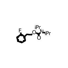 CC(C)N(C(=O)OCCc1ccccc1F)C(C)C